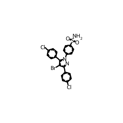 NS(=O)(=O)c1ccc(-n2nc(-c3ccc(Cl)cc3)c(Br)c2-c2ccc(Cl)cc2)cc1